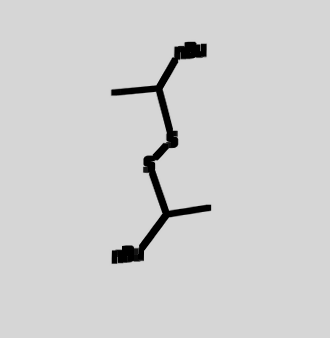 CCCCC(C)SSC(C)CCCC